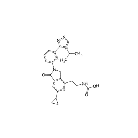 CC(C)n1cnnc1-c1cccc(N2Cc3c(cc(C4CC4)nc3CCNC(=O)O)C2=O)n1